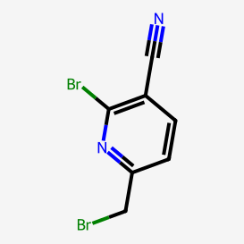 N#Cc1ccc(CBr)nc1Br